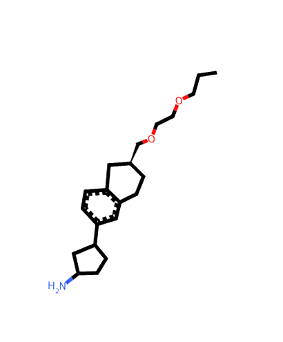 CCCOCCOC[C@H]1CCc2cc(C3CCC(N)C3)ccc2C1